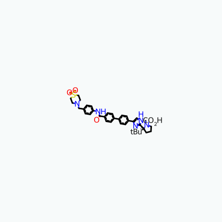 CC(C)(C)[C@]1(c2nc(-c3ccc(-c4ccc(C(=O)Nc5ccc(CN6CCS(=O)(=O)CC6)cc5)cc4)cc3)c[nH]2)CCCN1C(=O)O